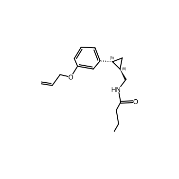 C=CCOc1cccc([C@@H]2C[C@H]2CNC(=O)CCC)c1